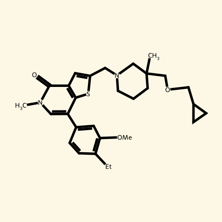 CCc1ccc(-c2cn(C)c(=O)c3cc(CN4CCCC(C)(COCC5CC5)C4)sc23)cc1OC